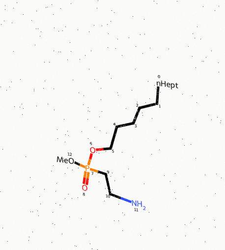 CCCCCCCCCCCCOP(=O)(CCN)OC